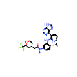 Cc1ccc(NC(=O)CC2CCOC(C(F)(F)F)C2)cc1Nc1ncccc1-c1ncnc2[nH]cnc12